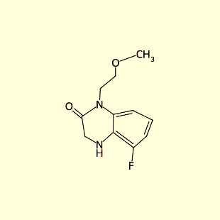 COCCN1C(=O)CNc2c(F)cccc21